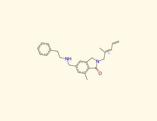 C=C/C=C(\C)CN1Cc2cc(CNCCc3ccccc3)cc(C)c2C1=O